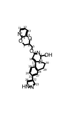 OC1N=C(OCC2COc3ncccc3O2)C=C2c3ccc(-c4cn[nH]c4)cc3CCN21